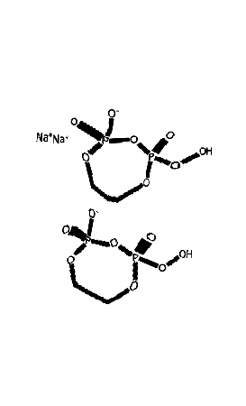 O=P1([O-])OCCOP(=O)(OO)O1.O=P1([O-])OCCOP(=O)(OO)O1.[Na+].[Na+]